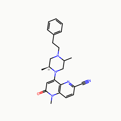 CC1CN(c2cc(=O)n(C)c3ccc(C#N)nc23)[C@@H](C)CN1CCc1ccccc1